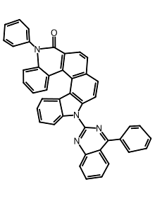 O=c1c2ccc3ccc4c(c5ccccc5n4-c4nc(-c5ccccc5)c5ccccc5n4)c3c2c2ccccc2n1-c1ccccc1